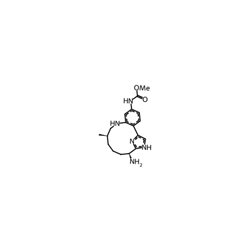 COC(=O)Nc1ccc2c(c1)NC[C@H](C)CCC[C@H](N)c1nc-2c[nH]1